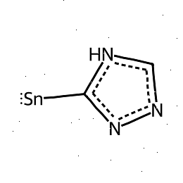 [Sn][c]1nnc[nH]1